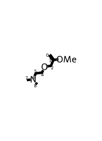 C=C(COCCN(C)C)OC